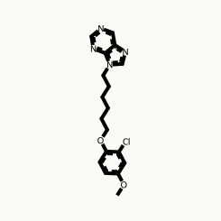 COc1ccc(OCCCCCCn2cnc3cncnc32)c(Cl)c1